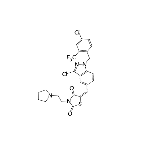 O=C1SC(=Cc2ccc3c(c2)c(Cl)nn3Cc2ccc(Cl)cc2C(F)(F)F)C(=O)N1CCN1CCCC1